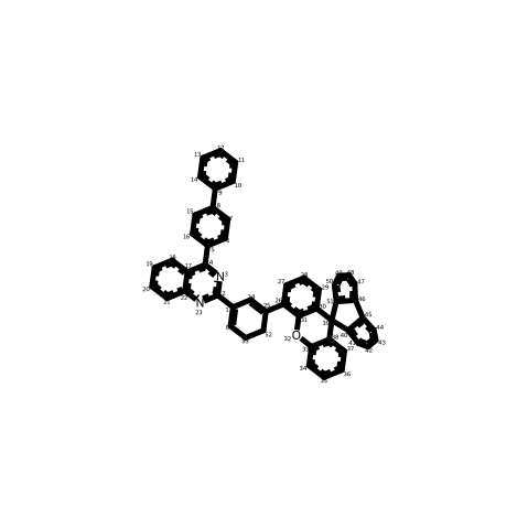 C1=C(c2nc(-c3ccc(-c4ccccc4)cc3)c3ccccc3n2)C=C(c2cccc3c2Oc2ccccc2C32c3ccccc3-c3ccccc32)CC1